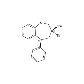 CCCC[C@]1(CC)CSc2ccccc2[C@H](c2ccccc2)C1